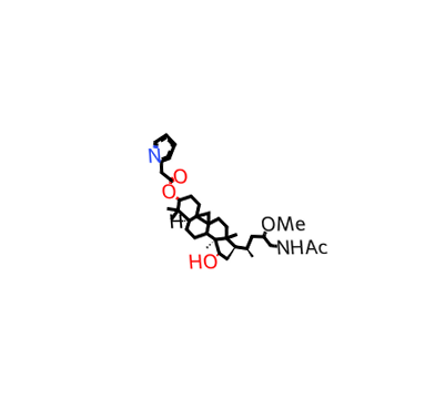 COC(CNC(C)=O)C[C@@H](C)[C@H]1C[C@H](O)[C@@]2(C)C3CC[C@H]4C(C)(C)C(OC(=O)Cc5ccccn5)CCC45CC35CCC12C